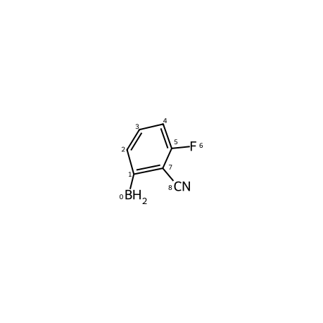 Bc1cccc(F)c1C#N